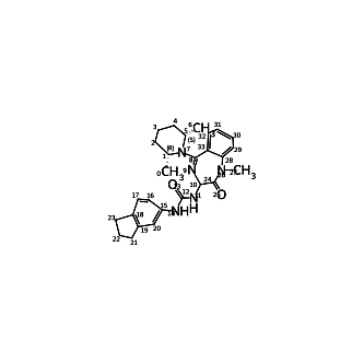 C[C@@H]1CCC[C@H](C)N1C1=NC(NC(=O)Nc2ccc3c(c2)CCC3)C(=O)N(C)c2ccccc21